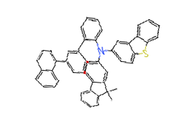 CC1(C)c2ccccc2-c2ccc(N(c3ccc4sc5ccccc5c4c3)c3ccccc3-c3cccc(-c4cccc5ccccc45)c3)cc21